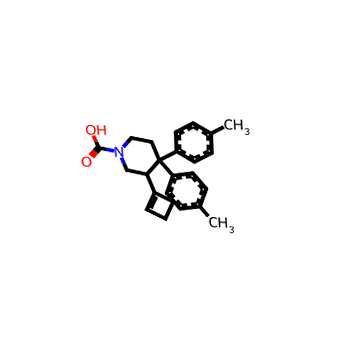 Cc1ccc(C2(c3ccc(C)cc3)CCN(C(=O)O)CC2C2=CCC2)cc1